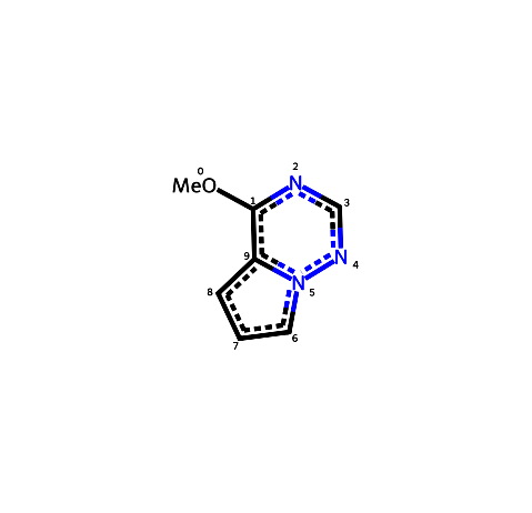 COc1ncnn2cccc12